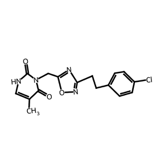 Cc1c[nH]c(=O)n(Cc2nc(CCc3ccc(Cl)cc3)no2)c1=O